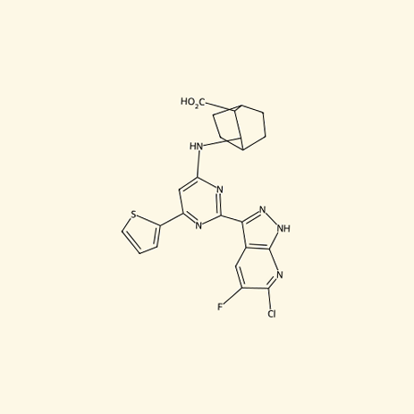 O=C(O)C1C2CCC(CC2)C1Nc1cc(-c2cccs2)nc(-c2n[nH]c3nc(Cl)c(F)cc23)n1